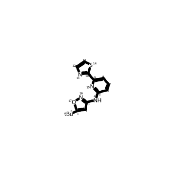 CC(C)(C)c1cc(Nc2cccc(-c3nccs3)n2)no1